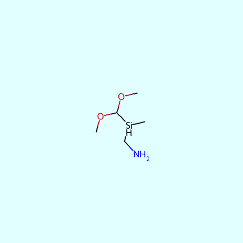 COC(OC)[SiH](C)CN